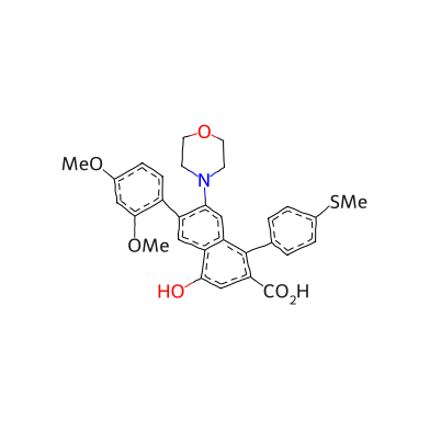 COc1ccc(-c2cc3c(O)cc(C(=O)O)c(-c4ccc(SC)cc4)c3cc2N2CCOCC2)c(OC)c1